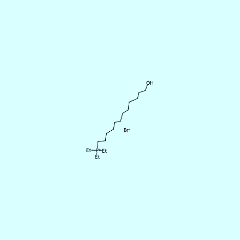 CC[P+](CC)(CC)CCCCCCCCCCCCO.[Br-]